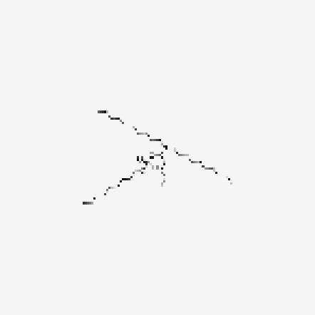 CCCCCCCCCCN(CCCCCCCCCC)C(CCCC)OP(=O)(O)OCCCCCCCCC